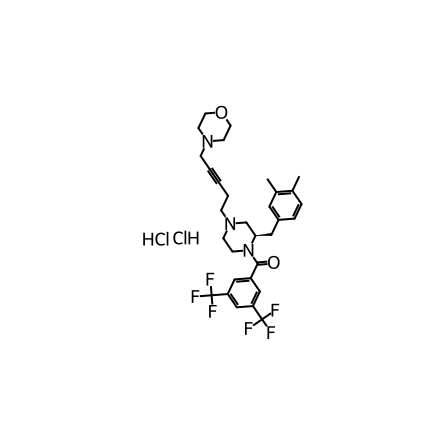 Cc1ccc(C[C@@H]2CN(CCC#CCN3CCOCC3)CCN2C(=O)c2cc(C(F)(F)F)cc(C(F)(F)F)c2)cc1C.Cl.Cl